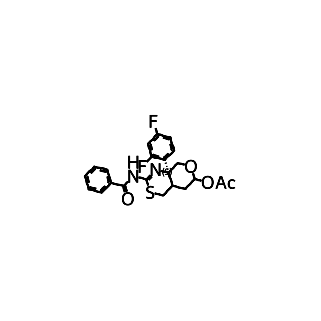 CC(=O)OC1CC2CSC(NC(=O)c3ccccc3)=N[C@@]2(c2ccc(F)cc2F)CO1